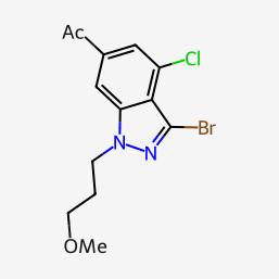 COCCCn1nc(Br)c2c(Cl)cc(C(C)=O)cc21